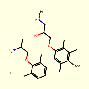 CC(=O)Oc1c(C)cc(OCC(O)CNC(C)C)c(C)c1C.Cc1cccc(C)c1OCC(C)N.Cl